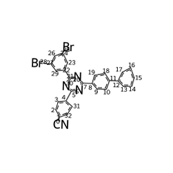 N#Cc1ccc(-c2nc(-c3ccc(-c4ccccc4)cc3)nc(-c3cc(Br)cc(Br)c3)n2)cc1